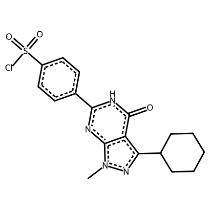 Cn1nc(C2CCCCC2)c2c(=O)[nH]c(-c3ccc(S(=O)(=O)Cl)cc3)nc21